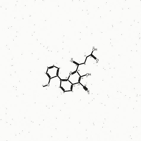 COc1ccccc1-c1cccc2c(C#N)c(O)c(C(=O)CCC(=O)O)nc12